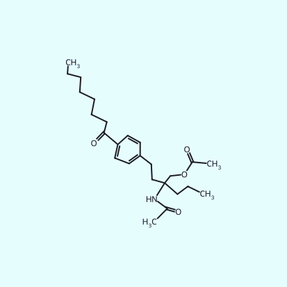 CCCCCCCC(=O)c1ccc(CCC(CCC)(COC(C)=O)NC(C)=O)cc1